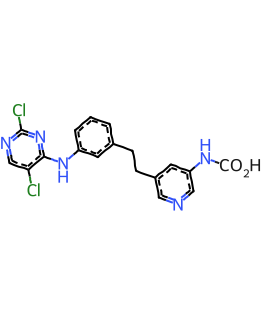 O=C(O)Nc1cncc(CCc2cccc(Nc3nc(Cl)ncc3Cl)c2)c1